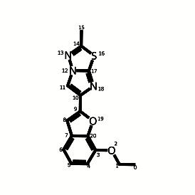 CCOc1cccc2cc(-c3cn4nc(C)sc4n3)oc12